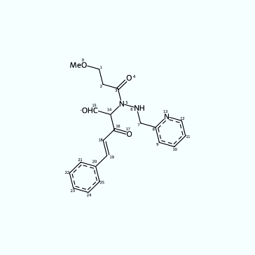 COCCC(=O)N(NCc1ccccn1)C([C]=O)C(=O)C=Cc1ccccc1